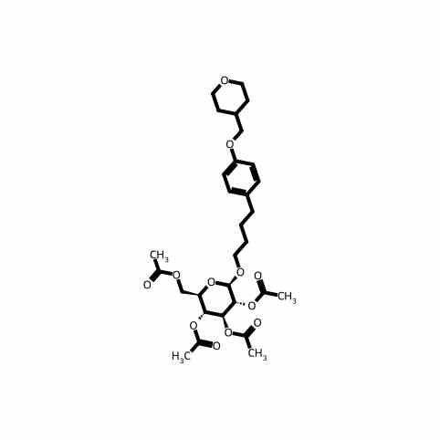 CC(=O)OC[C@H]1O[C@@H](OCCCCc2ccc(OCC3CCOCC3)cc2)[C@H](OC(C)=O)[C@@H](OC(C)=O)[C@@H]1OC(C)=O